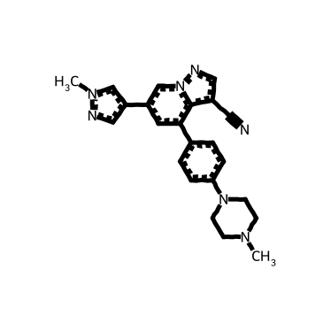 CN1CCN(c2ccc(-c3cc(-c4cnn(C)c4)cn4ncc(C#N)c34)cc2)CC1